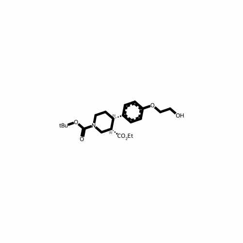 CCOC(=O)[C@@H]1CN(C(=O)OC(C)(C)C)CC[C@@H]1c1ccc(OCCO)cc1